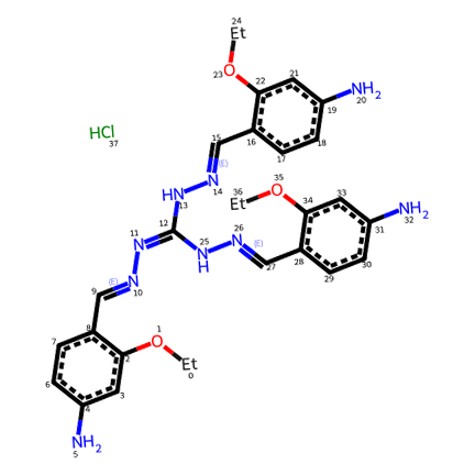 CCOc1cc(N)ccc1/C=N/N=C(N/N=C/c1ccc(N)cc1OCC)N/N=C/c1ccc(N)cc1OCC.Cl